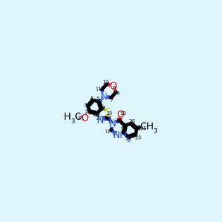 COc1ccc(N2CCOCC2)c2sc(N(CN)C(=O)c3cccc(C)c3)nc12